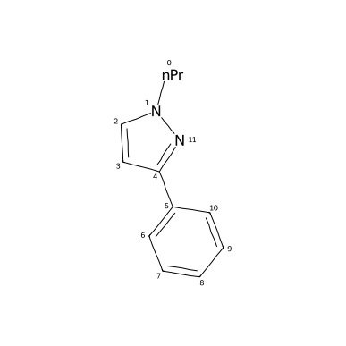 CCCn1ccc(-c2ccccc2)n1